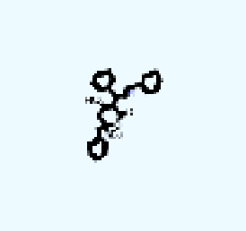 CCCCC1(Cc2ccccc2)CC(O)=C(C(/C=C/c2ccccc2)c2ccccc2)C(=O)O1